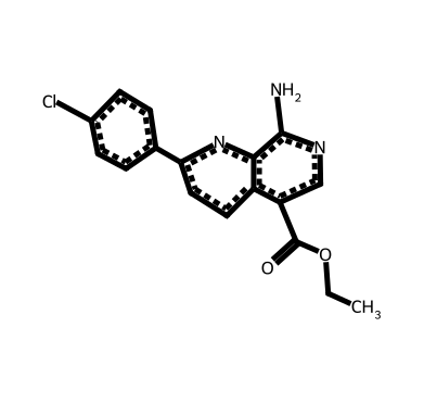 CCOC(=O)c1cnc(N)c2nc(-c3ccc(Cl)cc3)ccc12